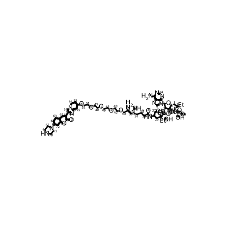 CCC(CC)(C[C@@H]1O[C@H](n2cnc3c(N)ncnc32)[C@H](OP(=O)(O)C(CC)(CC)CC(CO)NC(=O)CCCN(N)/C=C(\N)COCCOCCOCCOCCOc2ccn3cc(-c4cc5ccc(N6CCNCC6)cc5oc4=O)nc3c2)C1O)OP(=O)(O)O